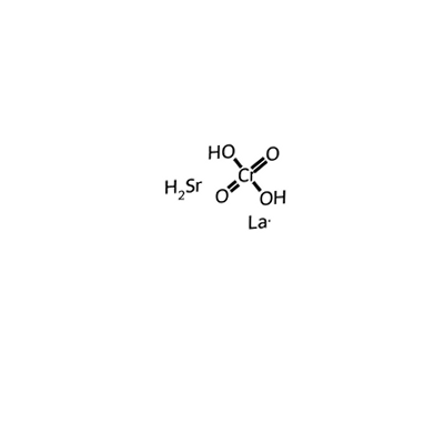 [La].[O]=[Cr](=[O])([OH])[OH].[SrH2]